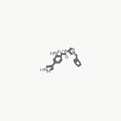 O=C(Nc1cnn(CC2CC3CCC2C3)c1)c1n[nH]c2cc(-c3cn[nH]c3)ccc12